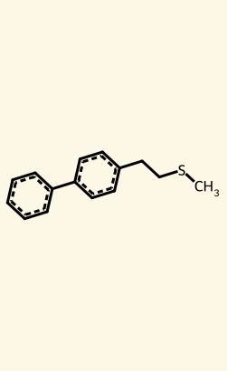 CSCCc1ccc(-c2ccccc2)cc1